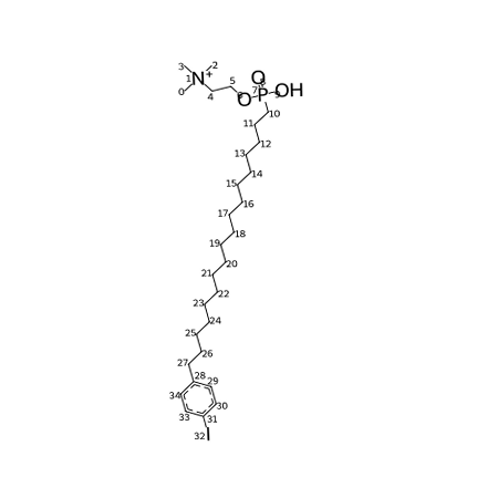 C[N+](C)(C)CCOP(=O)(O)CCCCCCCCCCCCCCCCCCc1ccc(I)cc1